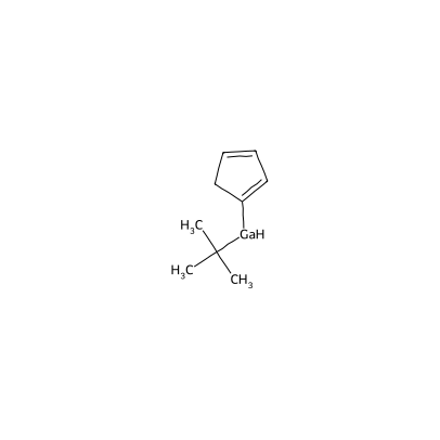 C[C](C)(C)[GaH][C]1=CC=CC1